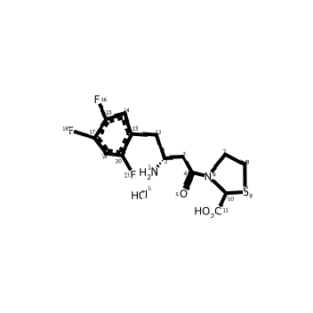 Cl.N[C@@H](CC(=O)N1CCSC1C(=O)O)Cc1cc(F)c(F)cc1F